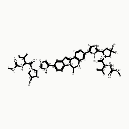 COC(=O)NC(C(=O)N1CC(F)C[C@H]1c1ncc(-c2ccc3c(c2)cc2n3C(C)Oc3cc(-c4cnc(C5CC(F)(F)CN5C(=O)[C@@H](NC(=O)OC)C(C)C)[nH]4)ccc3-2)[nH]1)C(C)C